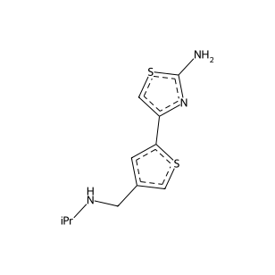 CC(C)NCc1csc(-c2csc(N)n2)c1